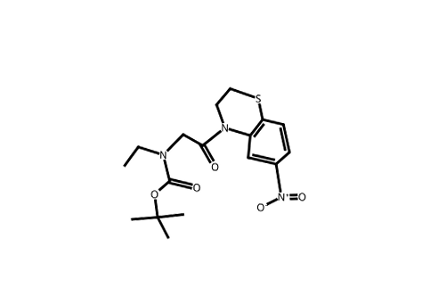 CCN(CC(=O)N1CCSc2ccc([N+](=O)[O-])cc21)C(=O)OC(C)(C)C